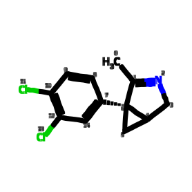 CC1=NCC2C[C@@]12c1ccc(Cl)c(Cl)c1